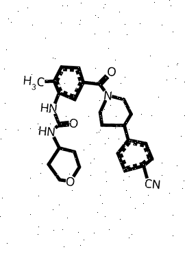 Cc1ccc(C(=O)N2CCC(c3ccc(C#N)cc3)CC2)cc1NC(=O)NC1CCOCC1